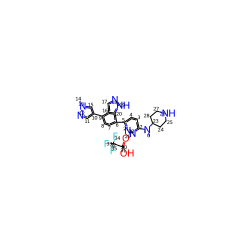 CN(c1ccc(-c2ccc(-c3cnn(C)c3)c3cn[nH]c23)nn1)C1CCNCC1.O=C(O)C(F)(F)F